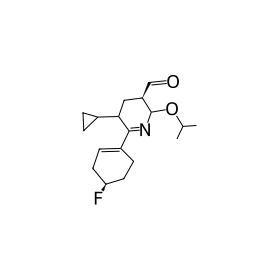 CC(C)OC1N=C(C2=CC[C@H](F)CC2)C(C2CC2)C[C@H]1C=O